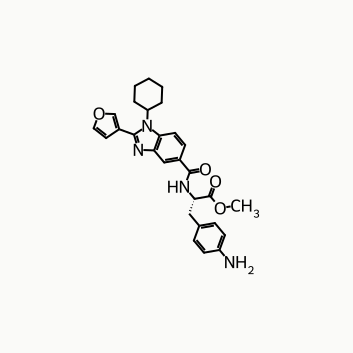 COC(=O)[C@H](Cc1ccc(N)cc1)NC(=O)c1ccc2c(c1)nc(-c1ccoc1)n2C1CCCCC1